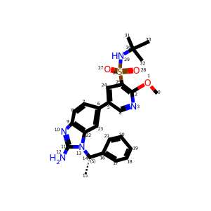 COc1ncc(-c2ccc3nc(N)n([C@@H](C)c4ccccc4)c3c2)cc1S(=O)(=O)NC(C)(C)C